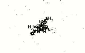 CC(CCCN(C)Cc1ccccc1)C1CC[C@H]2C3C(NC(=O)CCN)CC4CC(NC(=O)CCN)CC[C@]4(C)[C@H]3CC(NC(=O)CCN)[C@]12C